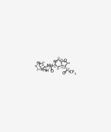 O=C(N[C@H]1CN2CCC1CC2)c1cc2c(C(=O)C(F)(F)F)coc2cn1